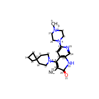 CN1CCN(c2cc3c(N4CCC5(CCC5)CC4)c(C#N)c(=O)[nH]c3cn2)CC1